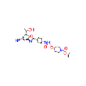 CC(C)OC(=O)N1CCC(OCC(=O)Nc2ccc(-c3nc4cc(C#N)cc(C(C)O)c4o3)cc2)CC1